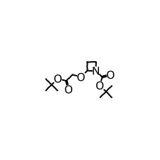 CC(C)(C)OC(=O)COC1CCN1C(=O)OC(C)(C)C